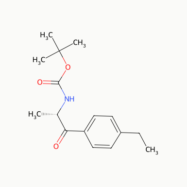 CCc1ccc(C(=O)[C@H](C)NC(=O)OC(C)(C)C)cc1